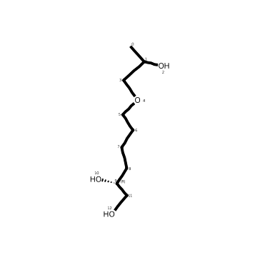 CC(O)COCCCC[C@@H](O)CO